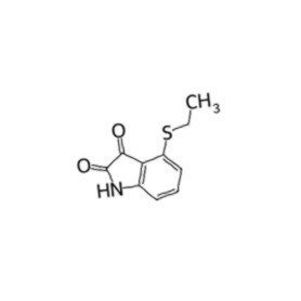 CCSc1cccc2c1C(=O)C(=O)N2